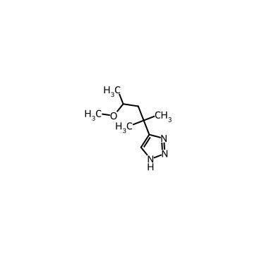 COC(C)CC(C)(C)c1c[nH]nn1